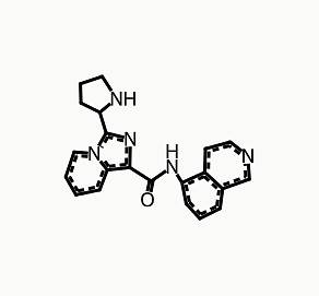 O=C(Nc1cccc2cnccc12)c1nc(C2CCCN2)n2ccccc12